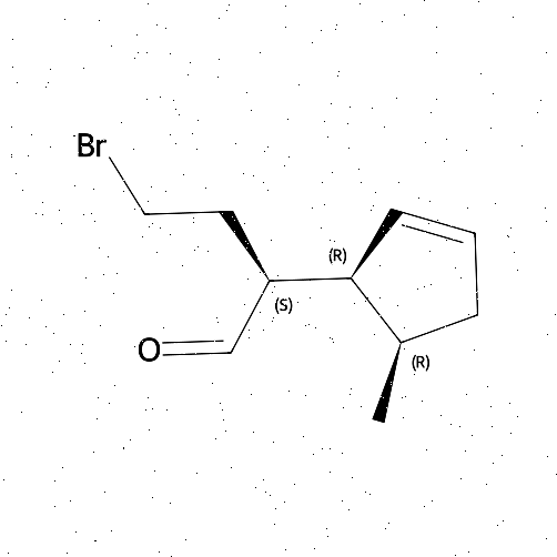 C[C@@H]1CC=C[C@@H]1[C@@H](C=O)CCBr